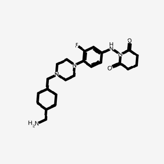 NCC1CCC(CN2CCN(c3ccc(NN4C(=O)CCCC4=O)cc3F)CC2)CC1